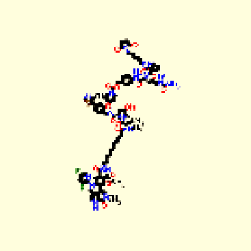 Cc1ncsc1-c1ccc(CNC(=O)[C@@H]2C[C@@H](O)CN2C(=O)[C@@H](NC(=O)CCCCCCCCCCNC(=O)c2cc3c(cc2CS(C)(=O)=O)-c2cn(C)c(=O)c4[nH]cc(c24)CN3c2ncc(F)cc2F)C(C)(C)C)c(OC2CCN(C(=O)OCc3ccc(NC(=O)[C@H](CCCNC(N)=O)NC(=O)C4(C(=O)NCCCCCN5C(=O)C=CC5=O)CCC4)cc3)CC2)c1